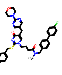 CN(Cc1ccc(-c2ccc(Cl)cc2)cc1)C(=O)CCCn1cc(Cc2cnc(N3CCOCC3)nc2)c(=O)nc1SCc1ccc(F)cc1